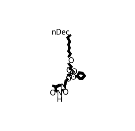 CCCCCCCCCCCCCCCCCCOCCOP(=O)(COCCn1cc(C)c(=O)[nH]c1=O)Oc1ccccc1